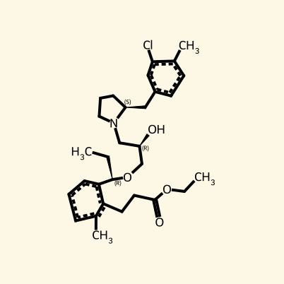 CCOC(=O)CCc1c(C)cccc1[C@@H](CC)OC[C@H](O)CN1CCC[C@H]1Cc1ccc(C)c(Cl)c1